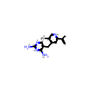 C=C(C)c1cc(Cc2cnc(N)nc2N)c(C(C)C)cn1